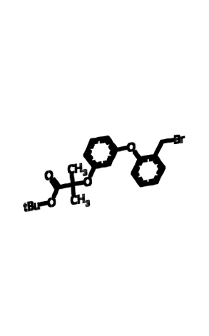 CC(C)(C)OC(=O)C(C)(C)Oc1cccc(Oc2ccccc2CBr)c1